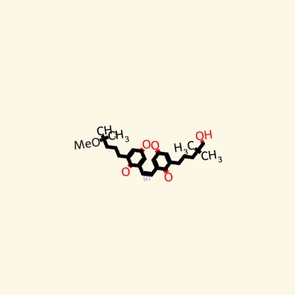 COC(C)(C)CCCC1=CC(=O)C=C(/C=C\C2=CC(=O)C=C(CCCC(C)(C)CO)C2=O)C1=O